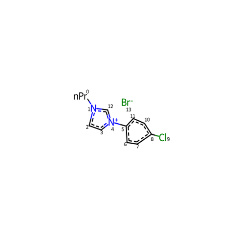 CCCn1cc[n+](-c2ccc(Cl)cc2)c1.[Br-]